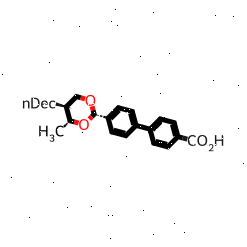 CCCCCCCCCC[C@H]1CO[C@H](c2ccc(-c3ccc(C(=O)O)cc3)cc2)O[C@@H]1C